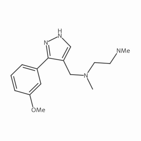 CNCCN(C)Cc1c[nH]nc1-c1cccc(OC)c1